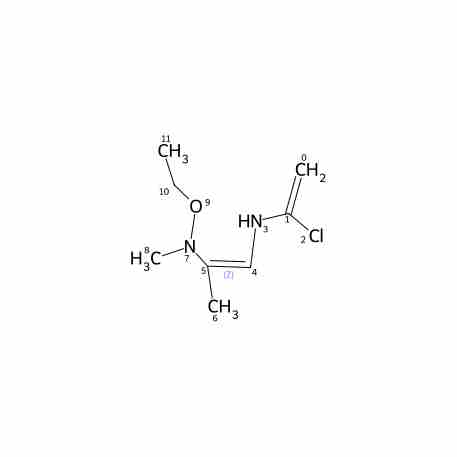 C=C(Cl)N/C=C(/C)N(C)OCC